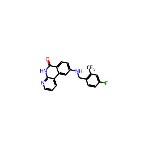 O=c1[nH]c2ncccc2c2cc(NCc3ccc(F)cc3C(F)(F)F)ccc12